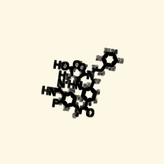 CN(C(=O)c1ccc2c(c1)N[C@H](CC(=O)O)C(=O)N(CCc1ccccc1)C2)c1ccc(C(=N)N)c(F)c1